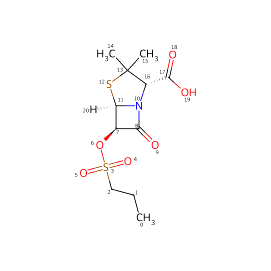 CCCS(=O)(=O)O[C@@H]1C(=O)N2[C@@H]1SC(C)(C)[C@@H]2C(=O)O